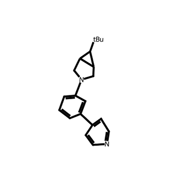 CC(C)(C)C1C2CN(c3cccc(-c4ccncc4)c3)CC21